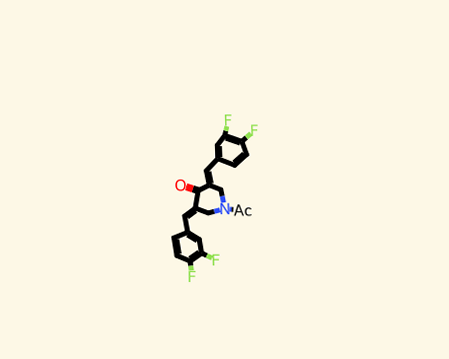 CC(=O)N1C/C(=C\c2ccc(F)c(F)c2)C(=O)/C(=C/c2ccc(F)c(F)c2)C1